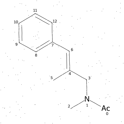 CC(=O)N(C)C/C(C)=C/c1ccccc1